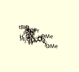 COCCCOc1cc(C[C@@H](C[C@@H]2NC(C)(C)O[C@H]2C[C@@H](C(C)C)C(O)NC(=O)OC(C)(C)C)C(C)C)ccc1OC